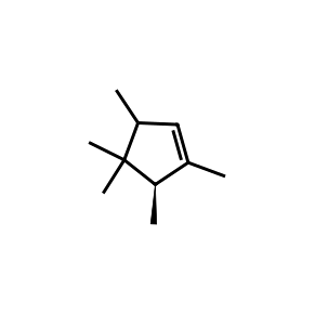 CC1=CC(C)C(C)(C)[C@@H]1C